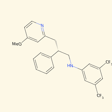 COc1ccnc(C[C@H](CNc2cc(C(F)(F)F)cc(C(F)(F)F)c2)c2ccccc2)c1